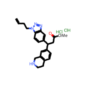 C=CCCn1nnc2cc(C(CC(=O)OC)c3ccc4c(c3)CNCC4)ccc21.Cl.Cl